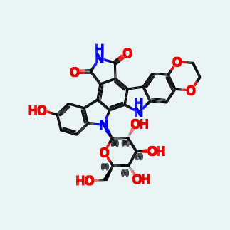 O=C1NC(=O)c2c1c1c3cc4c(cc3[nH]c1c1c2c2cc(O)ccc2n1[C@@H]1O[C@H](CO)[C@@H](O)[C@H](O)[C@H]1O)OCCO4